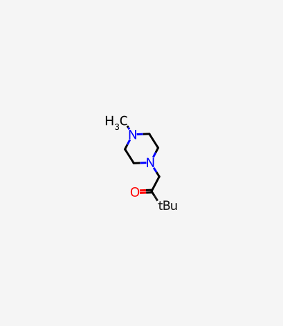 CN1CCN(CC(=O)C(C)(C)C)CC1